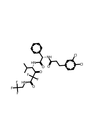 CC(C)[C@H](NC(=O)[C@@H](NC(=O)CCc1ccc(Cl)c(Cl)c1)c1ccccc1)C(=O)C(F)(F)C(=O)NCC(F)(F)F